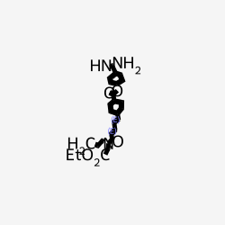 C=CCN(CC(=O)OCC)C(=O)/C=C/C=C/c1ccc(C(=O)Oc2ccc(C(=N)N)cc2)cc1